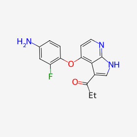 CCC(=O)c1c[nH]c2nccc(Oc3ccc(N)cc3F)c12